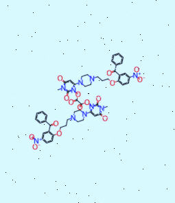 Cn1c(=O)cc(N2CCN(CCCOc3ccc([N+](=O)[O-])cc3C(=O)c3ccccc3)CC2)n(OC(=O)C(=O)On2c(N3CCN(CCCOc4ccc([N+](=O)[O-])cc4C(=O)c4ccccc4)CC3)cc(=O)n(C)c2=O)c1=O